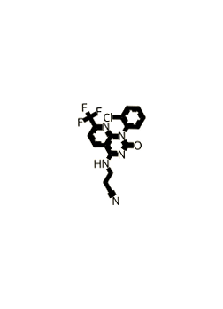 N#CCCNc1nc(=O)n(-c2ccccc2Cl)c2nc(C(F)(F)F)ccc12